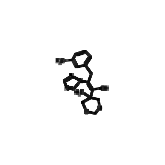 CC1(C(O)=C(Cc2cccc(C(F)(F)F)c2)n2cncn2)COCOC1